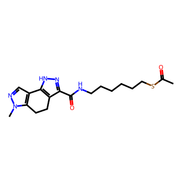 CC(=O)SCCCCCCNC(=O)c1n[nH]c2c1CCc1c-2cnn1C